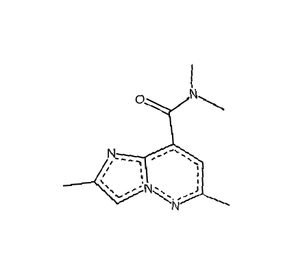 Cc1cn2nc(C)cc(C(=O)N(C)C)c2n1